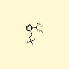 CC(C)c1ncnn1CCC(F)(F)F